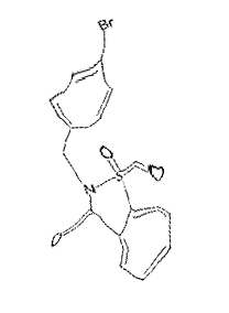 O=C1c2ccccc2S(=O)(=O)N1Cc1ccc(Br)cc1